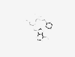 CNc1ncnc2c1ncn2C[C@@H](COC)OCP(=O)(O)OCc1ccccc1